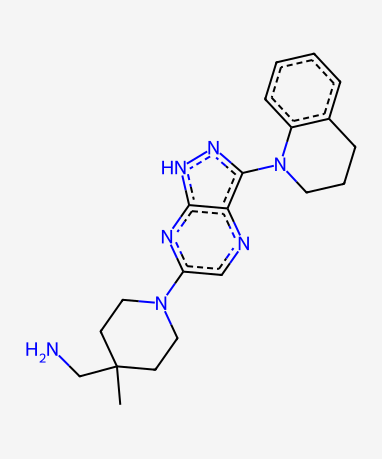 CC1(CN)CCN(c2cnc3c(N4CCCc5ccccc54)n[nH]c3n2)CC1